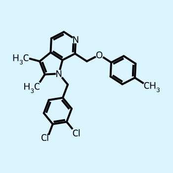 Cc1ccc(OCc2nccc3c(C)c(C)n(Cc4ccc(Cl)c(Cl)c4)c23)cc1